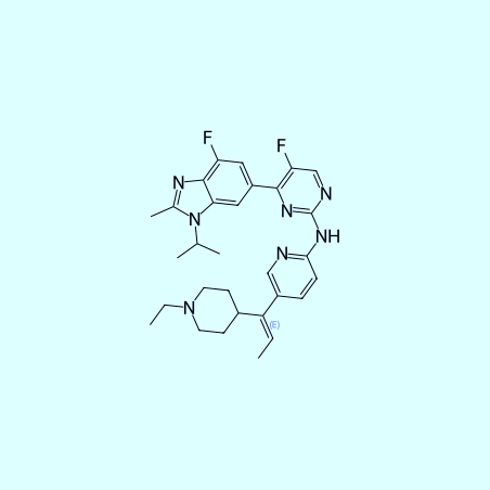 C/C=C(/c1ccc(Nc2ncc(F)c(-c3cc(F)c4nc(C)n(C(C)C)c4c3)n2)nc1)C1CCN(CC)CC1